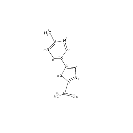 Cc1ncc(-c2cnc(C(=O)O)s2)cn1